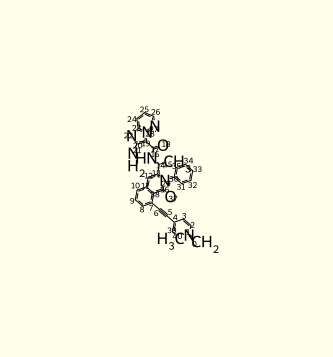 C=N/C=C\C(C#Cc1cccc2cc([C@H](C)NC(=O)c3c(N)nc4cccnn34)n(-c3ccccc3)c(=O)c12)=C/C